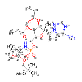 COC(C)(C)COC(=O)[C@H](C)NP(=O)(OC[C@H]1O[C@@](C#N)(c2ccc3c(N)ncnn23)[C@H](OC(=O)CC(C)C)[C@@H]1OC(=O)CC(C)C)Oc1ccccc1